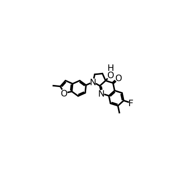 Cc1cc2cc(N3CCC4(O)C(=O)c5cc(F)c(C)cc5N=C34)ccc2o1